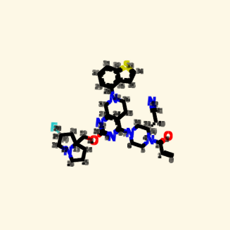 C=CC(=O)N1CCN(c2nc(OCC34CCCN3C[C@H](F)C4)nc3c2CCN(c2cccc4sccc24)C3)C[C@@H]1CC#N